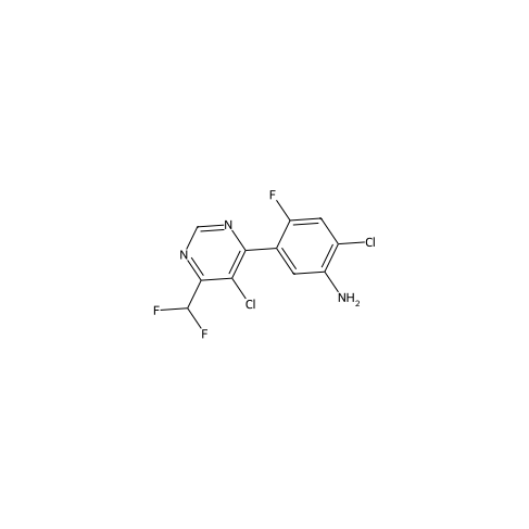 Nc1cc(-c2ncnc(C(F)F)c2Cl)c(F)cc1Cl